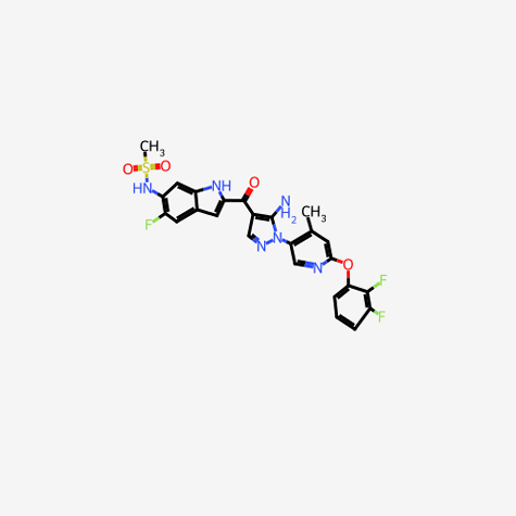 Cc1cc(Oc2cccc(F)c2F)ncc1-n1ncc(C(=O)c2cc3cc(F)c(NS(C)(=O)=O)cc3[nH]2)c1N